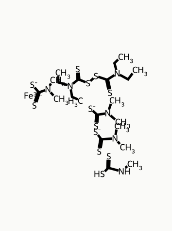 CCN(CC)C(=S)SSC(=S)N(CC)CC.CN(C)C(=S)[S-].CN(C)C(=S)[S-].CN(C)C(=S)[S-].CNC(=S)S.[Fe+3]